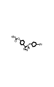 CC(C)c1ccc(Cn2nnnc2-c2ccc(OC(=O)C(C)(C)C)cc2)cc1